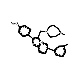 COc1ccc(-c2nc3ccc(-c4cccc(C)c4)cn3c2CN2CCCN(C)CC2)cc1